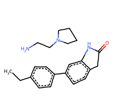 CCc1ccc(-c2ccc3c(c2)NC(=O)C3)cc1.NCCN1CCCC1